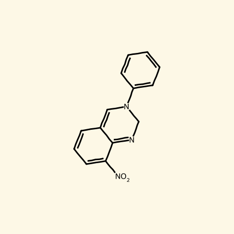 O=[N+]([O-])c1cccc2c1=NCN(c1ccccc1)C=2